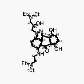 CCN(CC)CCNc1ccc2c3c(nn2CC(O)CN(CC)CC)-c2c(O)ccc(O)c2C(=O)c13